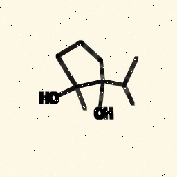 CC(C)C1(O)CCCC1(C)O